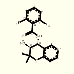 CC1(C)Oc2ccncc2[C@@H](NC(=O)c2c(F)cccc2F)[C@@H]1O